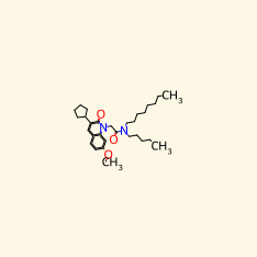 CCCCCCCCN(CCCCC)C(=O)Cn1c(=O)c(C2CCCC2)cc2ccc(OC)cc21